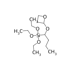 CCCC(OC1CCO1)[Si](OCC)(OCC)OCC